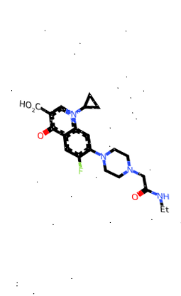 CCNC(=O)CN1CCN(c2cc3c(cc2F)c(=O)c(C(=O)O)cn3C2CC2)CC1